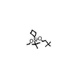 CCO[Si](OCCC(C)(C)C)(C1CCC1)C(C)(C)C